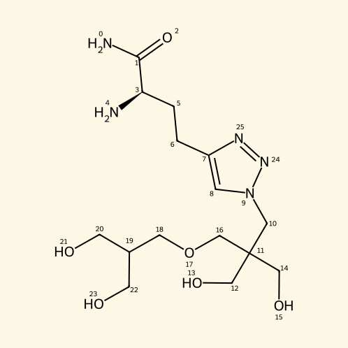 NC(=O)[C@H](N)CCc1cn(CC(CO)(CO)COCC(CO)CO)nn1